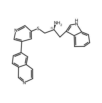 N[C@H](CSc1cncc(-c2ccc3cnccc3c2)c1)Cc1c[nH]c2ccccc12